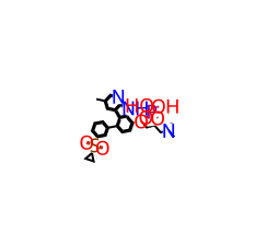 Cc1cnc2[nH]c3c(OC[C@H](CN(C)C)OP(=O)(O)O)ccc(-c4cccc(S(=O)(=O)C5CC5)c4)c3c2c1